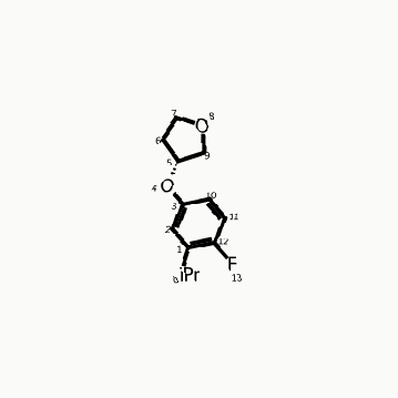 CC(C)c1cc(O[C@@H]2CCOC2)ccc1F